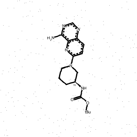 CC(C)(C)OC(=O)N[C@H]1CCCN(c2ccc3ncnc(N)c3n2)C1